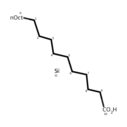 CCCCCCCCCCCCCCCCCC(=O)O.[Si]